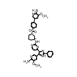 COc1cc(-c2ccc(S(=O)(=O)N3CCC[C@@H](Nc4nccc(-c5nc(-c6ccccc6)[nH]c5-c5cnc(N)c(OC)c5)n4)C3)cc2)cnc1N